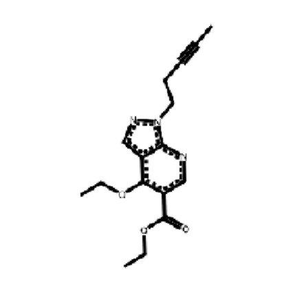 CC#CCCn1ncc2c(OCC)c(C(=O)OCC)cnc21